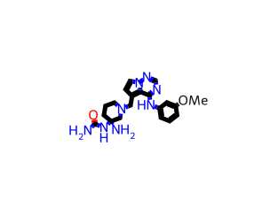 COc1cccc(Nc2ncnn3ccc(CN4CCC[C@@](N)(NC(N)=O)C4)c23)c1